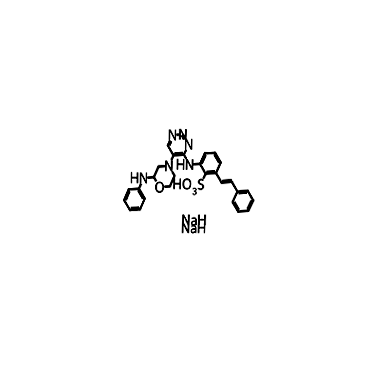 O=S(=O)(O)c1c(C=Cc2ccccc2)cccc1Nc1nnncc1N1CCOC(Nc2ccccc2)C1.[NaH].[NaH]